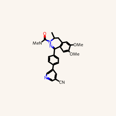 CNC(=O)N1N=C(c2ccc(-c3cncc(C#N)c3)cc2)c2cc(OC)c(OC)cc2CC1C